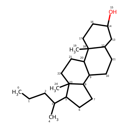 CCCC(C)C1CCC2C3CCC4CC(O)CCC4(C)C3CCC12C